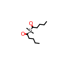 CCCCC(=O)[Si](C)(C)C(=O)CCCC